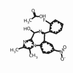 CC(=O)O.Cc1nc2n(c1C)-c1ccc([N+](=O)[O-])cc1C(c1ccccc1F)=NC2O